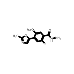 COc1cc(C(=O)NN)c(F)cc1-c1cnc(C)o1